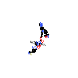 CC(=O)O[C@@H]1C[C@@H](C(=O)N[C@@H](C)c2ccc(-c3scnc3C)cc2)N(C(=O)[C@@H](NC(=O)COCCCCCN(c2ccc(-n3ccnn3)cc2)c2cc(-c3c(C)noc3C)ccc2C)C(C)(C)C)C1